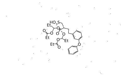 CCC(=O)OC(CC)OP(=O)(OC(CC)OC(=O)CC)C(CCc1cccc(Oc2ccccc2)c1)CS(=O)(=O)O